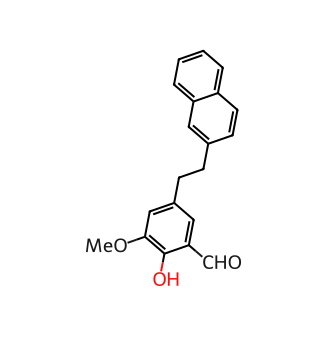 COc1cc(CCc2ccc3ccccc3c2)cc(C=O)c1O